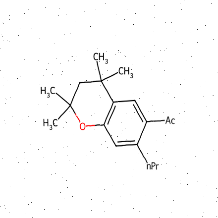 CCCc1cc2c(cc1C(C)=O)C(C)(C)CC(C)(C)O2